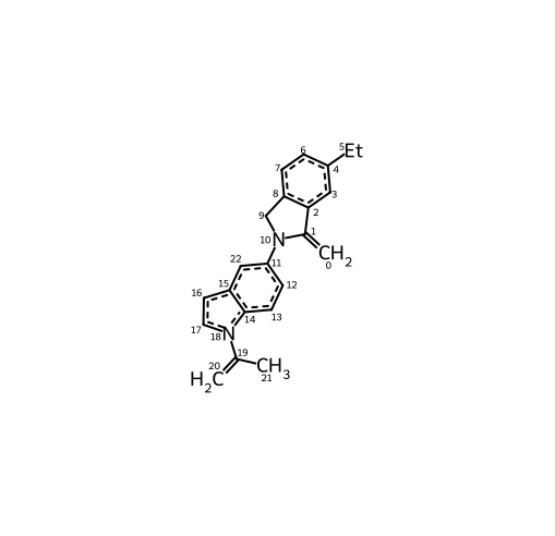 C=C1c2cc(CC)ccc2CN1c1ccc2c(ccn2C(=C)C)c1